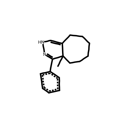 CC12CCCCCCC1=CNN=C2c1ccccc1